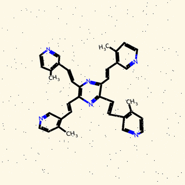 Cc1ccncc1C=Cc1nc(C=Cc2cnccc2C)c(C=Cc2cnccc2C)nc1C=Cc1cnccc1C